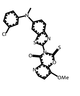 COc1ccnc2c(=O)n(-c3nc4ccc(N(C)c5cccc(Cl)c5)cc4s3)c(=S)oc12